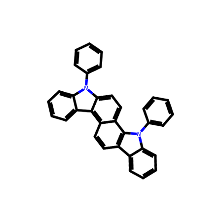 c1ccc(-n2c3ccccc3c3c4ccc5c6ccccc6n(-c6ccccc6)c5c4ccc32)cc1